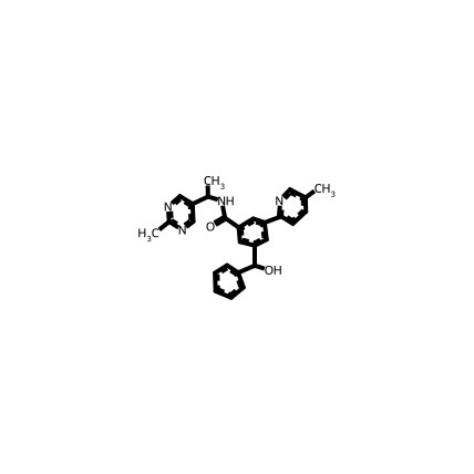 Cc1ccc(-c2cc(C(=O)NC(C)c3cnc(C)nc3)cc(C(O)c3ccccc3)c2)nc1